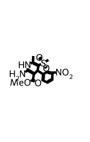 COC(=O)C1=C(N)NC(C)=C(S(C)(=O)=O)C1c1cccc([N+](=O)[O-])c1